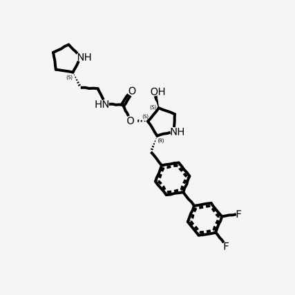 O=C(NCC[C@@H]1CCCN1)O[C@@H]1[C@@H](O)CN[C@@H]1Cc1ccc(-c2ccc(F)c(F)c2)cc1